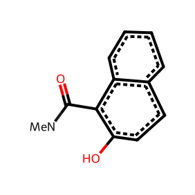 CNC(=O)c1c(O)ccc2ccccc12